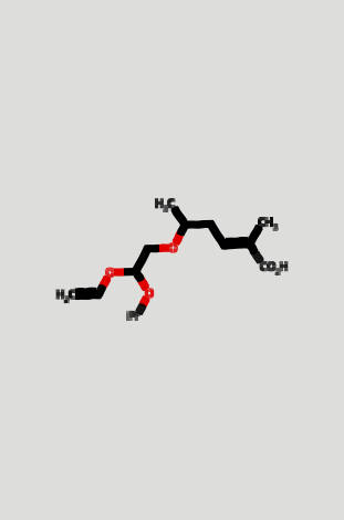 C=COC(COC(C)CC=C(C)C(=O)O)OC(C)C